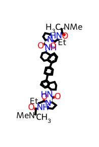 CC[C@H](NC(=O)[C@H](C)NC)C(=O)N1CCC[C@H]1C(=O)N[C@@H]1CCCc2c(-c3ccc(-c4cccc5c4CCC[C@H]5NC(=O)[C@@H]4CCCN4C(=O)[C@H](CC)NC(=O)[C@H](C)NC)cc3)cccc21